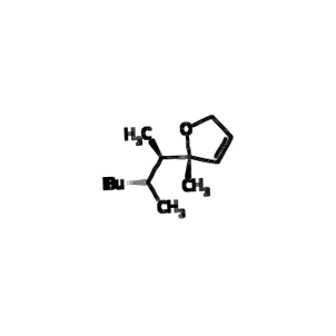 CC[C@@H](C)C(C)[C@@H](C)[C@@]1(C)C=CCO1